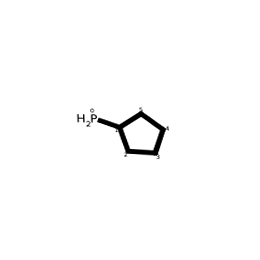 PC1CCCC1